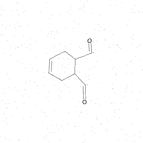 O=[C]C1CC=CCC1[C]=O